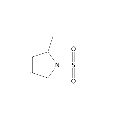 CC1C[CH]CN1S(C)(=O)=O